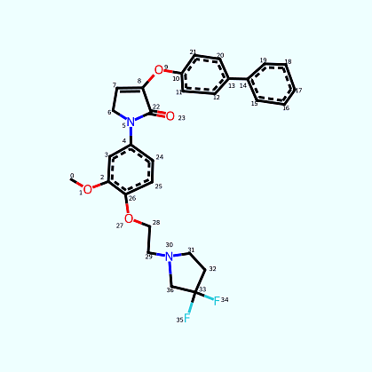 COc1cc(N2CC=C(Oc3ccc(-c4ccccc4)cc3)C2=O)ccc1OCCN1CCC(F)(F)C1